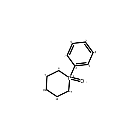 O=P1(c2ccccc2)CC[CH]CC1